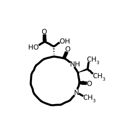 CC(C)[C@@H]1NC(=O)[C@@H](C(O)C(=O)O)CCCCCCCCCN(C)C1=O